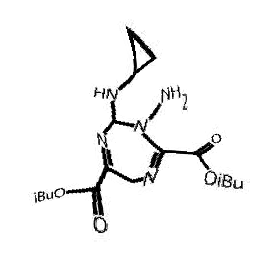 CC(C)COC(=O)C1=NC(NC2CC2)N(N)C(C(=O)OCC(C)C)=N1